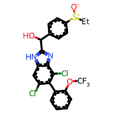 CC[S+]([O-])c1ccc(C(O)c2nc3c(Cl)c(-c4ccccc4OC(F)(F)F)c(Cl)cc3[nH]2)cc1